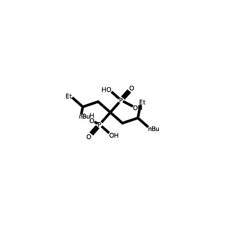 CCCCC(CC)CC(CC(CC)CCCC)(P(=O)(O)O)P(=O)(O)O